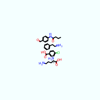 CCCC(=O)Nc1ccc(C=O)cc1.NCCC[C@H](N)C(=O)O.NCCc1ccccc1.O=C(O)c1ccc(Cl)cc1